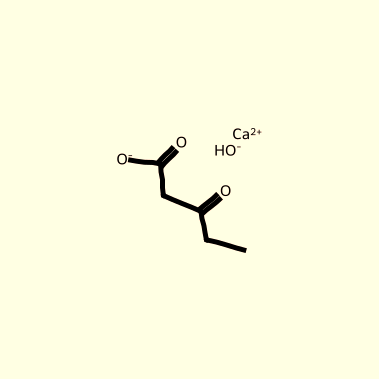 CCC(=O)CC(=O)[O-].[Ca+2].[OH-]